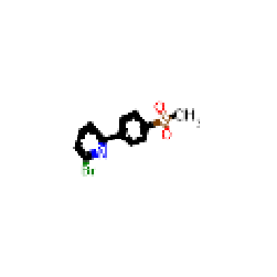 CS(=O)(=O)c1ccc(-c2cccc(Br)n2)cc1